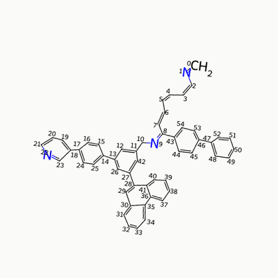 C=N\C=C/C=C\C=C\C(=N/Cc1cc(-c2ccc(-c3cccnc3)cc2)cc(-c2cc3ccccc3c3ccccc23)c1)c1ccc(-c2ccccc2)cc1